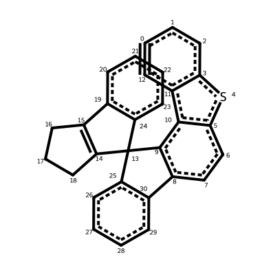 c1ccc2sc3ccc4c(c3c2c#1)C1(C2=C(CCC2)c2ccccc21)c1ccccc1-4